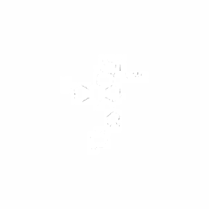 COC(=O)N1c2ccc(-c3cnn(C4CCOCC4)c3)c(Oc3ccc(F)cc3)c2CC[C@@H]1C